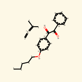 C=C=C(C)C.CCCCCOc1ccc(C(=O)C(=O)c2ccccc2)cc1